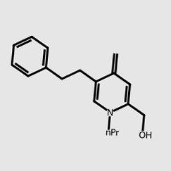 C=C1C=C(CO)N(CCC)C=C1CCc1ccccc1